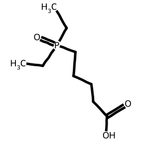 CCP(=O)(CC)CCCCC(=O)O